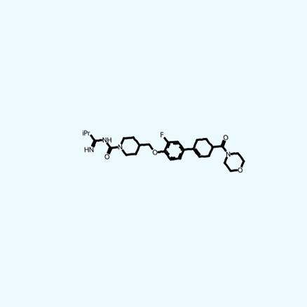 CC(C)C(=N)NC(=O)N1CCC(COc2ccc(C3=CCC(C(=O)N4CCOCC4)CC3)cc2F)CC1